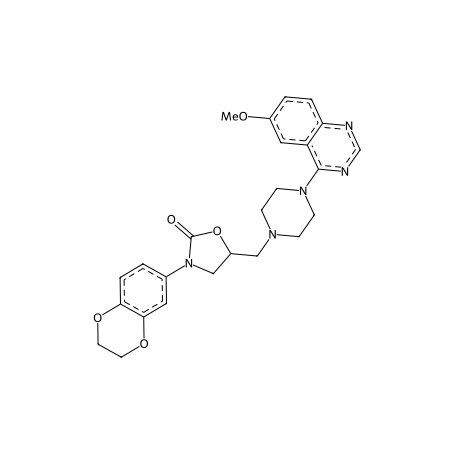 COc1ccc2ncnc(N3CCN(CC4CN(c5ccc6c(c5)OCCO6)C(=O)O4)CC3)c2c1